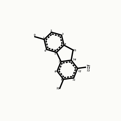 Cc1ccc2c(c1)-c1cc(C)c[c]([Ti])c1C2